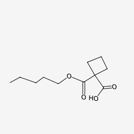 CCCCCOC(=O)C1(C(=O)O)CCC1